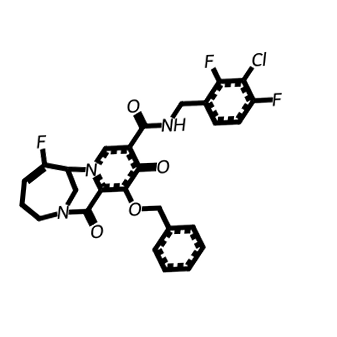 O=C(NCc1ccc(F)c(Cl)c1F)c1cn2c(c(OCc3ccccc3)c1=O)C(=O)N1CCC=C(F)C2C1